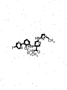 CCn1ccc(Nc2cc(Nc3cccc(-c4ncc(F)cn4)c3OC)c(C(=O)NC)cn2)n1